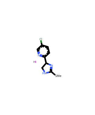 CSC1=NC(c2ccc(Cl)cn2)CN1.I